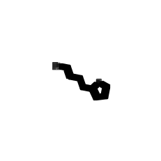 CCC=CCCc1cccs1